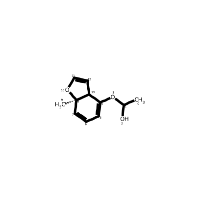 CC(O)OC1=CC=C[C@@]2(C)OC=CC12